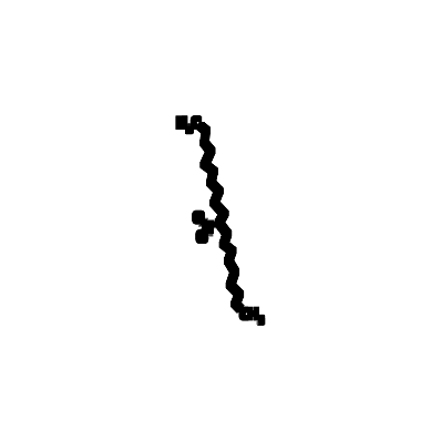 CCCCCCCCCCC(CCCCCCCCC)[N+](=O)[O-]